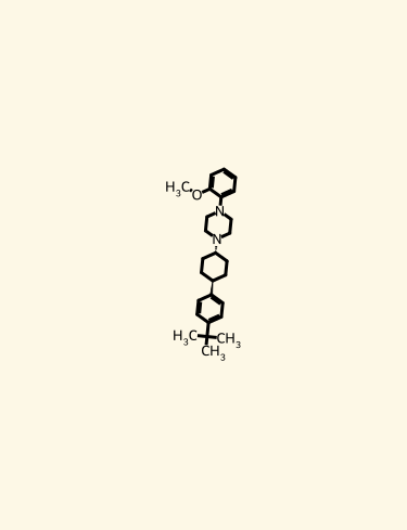 COc1ccccc1N1CCN([C@H]2CC[C@H](c3ccc(C(C)(C)C)cc3)CC2)CC1